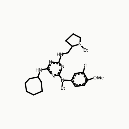 CCN(c1ccc(OC)c(Cl)c1)c1nc(NCC2CCCN2CC)nc(NC2CCCCCC2)n1